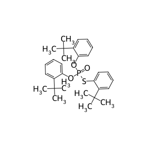 CC(C)(C)c1ccccc1OP(=O)(Oc1ccccc1C(C)(C)C)Sc1ccccc1C(C)(C)C